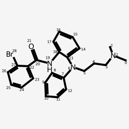 CN(C)CCCN(c1ccccc1)c1ccccc1NC(=O)c1ccccc1Br